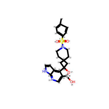 Cc1ccc(S(=O)(=O)N2CCC3(CC2)CC2(C3)OB(O)c3cnc4[nH]ccc4c32)cc1